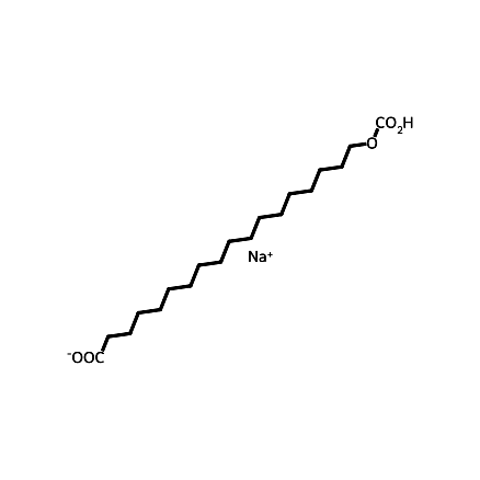 O=C([O-])CCCCCCCCCCCCCCCCCOC(=O)O.[Na+]